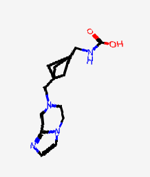 O=C(O)NCC12CC(CN3CCn4ccnc4C3)(C1)C2